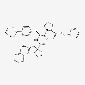 O=C(CC1(C(=O)N[C@@H](Cc2ccc(-c3ccccc3)cc2)C(=O)N2CCC[C@H]2C(=O)OCc2ccccc2)CCCC1)OCc1ccccc1